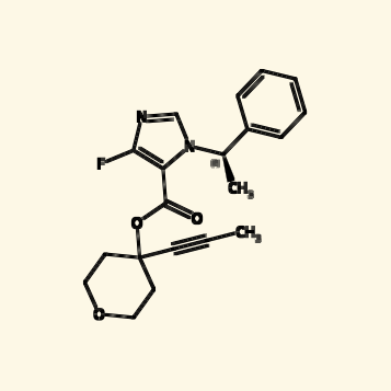 CC#CC1(OC(=O)c2c(F)ncn2[C@H](C)c2ccccc2)CCOCC1